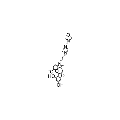 COc1ccc2c(c1)c(C=C1Oc3cc(O)cc(O)c3C1=O)c(C)n2CCCCN1CCN(CCN2CCOCC2)CC1